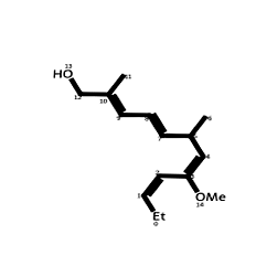 CC/C=C\C(=C/C(C)/C=C/C=C(\C)CO)OC